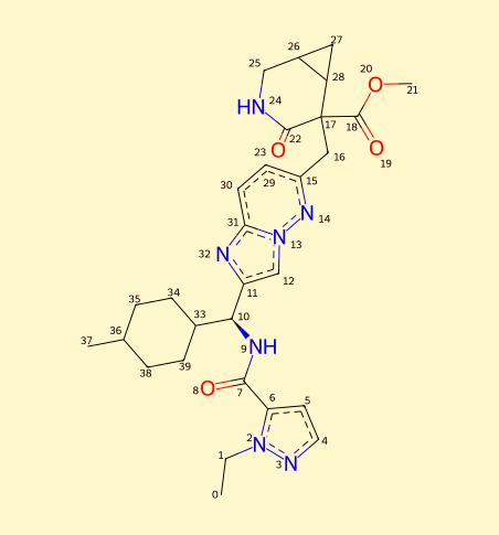 CCn1nccc1C(=O)N[C@H](c1cn2nc(CC3(C(=O)OC)C(=O)NCC4CC43)ccc2n1)C1CCC(C)CC1